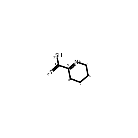 S=C(S)C1=NCCCC1